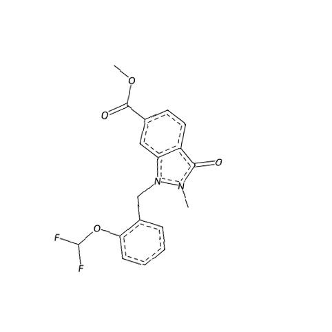 COC(=O)c1ccc2c(=O)n(C)n(Cc3ccccc3OC(F)F)c2c1